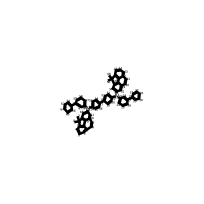 CC1(C)c2cccc3ccc4cc(N(c5ccc(-c6ccc(N(c7cccc(-c8ccccc8)c7)c7cc8c9c(ccc%10cccc(c%109)C8(C)C)c7)cc6)cc5)c5cccc(-c6ccccc6)c5)cc1c4c23